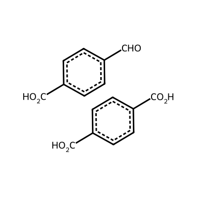 O=C(O)c1ccc(C(=O)O)cc1.O=Cc1ccc(C(=O)O)cc1